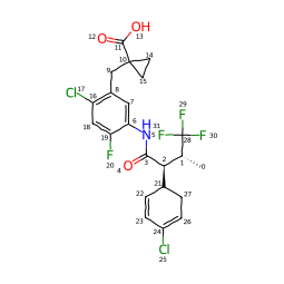 C[C@H]([C@H](C(=O)Nc1cc(CC2(C(=O)O)CC2)c(Cl)cc1F)C1C=CC(Cl)=CC1)C(F)(F)F